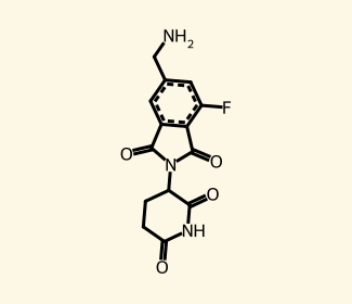 NCc1cc(F)c2c(c1)C(=O)N(C1CCC(=O)NC1=O)C2=O